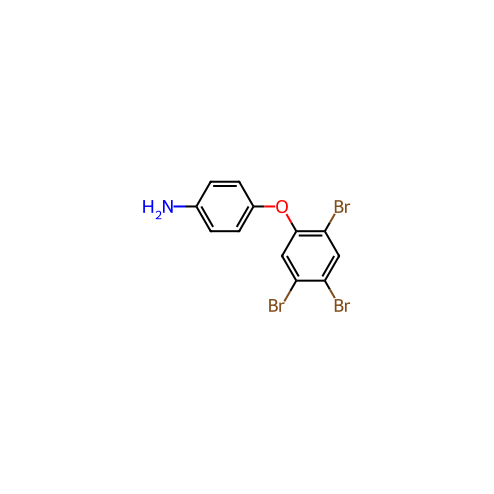 Nc1ccc(Oc2cc(Br)c(Br)cc2Br)cc1